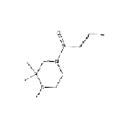 CCCC(=O)N1CCN(C)C(C)(C)C1